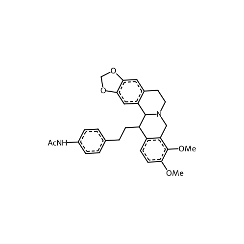 COc1ccc2c(c1OC)CN1CCc3cc4c(cc3C1C2CCc1ccc(NC(C)=O)cc1)OCO4